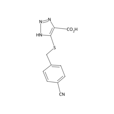 N#Cc1ccc(CSc2[nH]nnc2C(=O)O)cc1